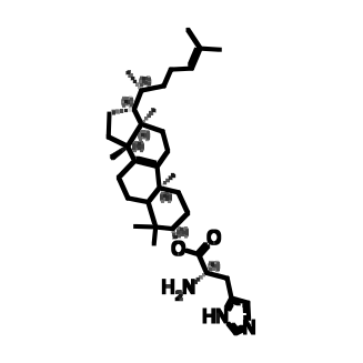 CC(C)=CCC[C@@H](C)[C@H]1CC[C@@]2(C)C3=C(CC[C@]12C)[C@@]1(C)CC[C@H](OC(=O)[C@@H](N)Cc2cnc[nH]2)C(C)(C)C1CC3